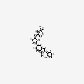 Cn1nccc1-c1cc2cc([C@H]3CC[C@@H](OC(=O)NC(C)(C)C)C3)cnc2[nH]1